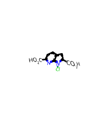 O=C(O)c1ccc2cc(C(=O)O)n(Cl)c2n1